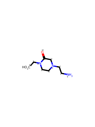 NCCN1CCN(CC(=O)O)C(=O)C1